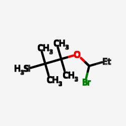 CCC(Br)OC(C)(C)C(C)(C)[SiH3]